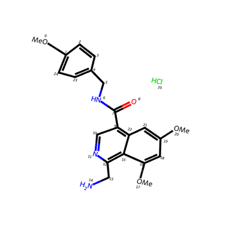 COc1ccc(CNC(=O)c2cnc(CN)c3c(OC)cc(OC)cc23)cc1.Cl